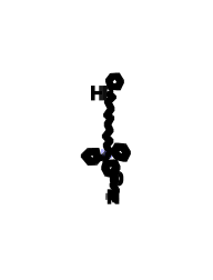 CN(C)CCOc1ccc(/C(=C(/CCCCCCCCCCPC2CCCCC2)c2ccccc2)c2ccccc2)cc1